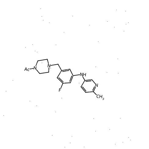 CC(=O)N1CCN(Cc2cc(F)cc(Nc3ccc(C)nc3)c2)CC1